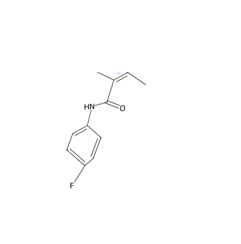 C/C=C(/C)C(=O)Nc1ccc(F)cc1